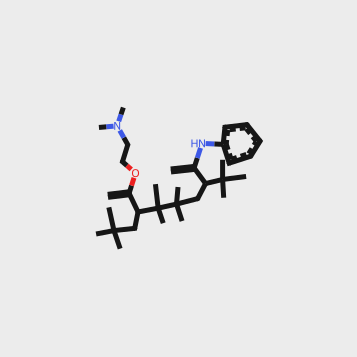 C=C(Nc1ccccc1)C(CC(C)(C)C(C)(C)C(CC(C)(C)C)C(=C)OCCN(C)C)C(C)(C)C